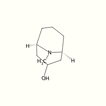 CN1[C@@H]2CCC[C@H]1CC(O)C2